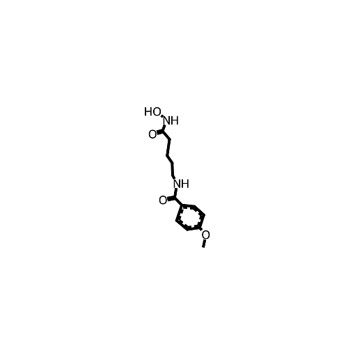 COc1ccc(C(=O)NCCCCC(=O)NO)cc1